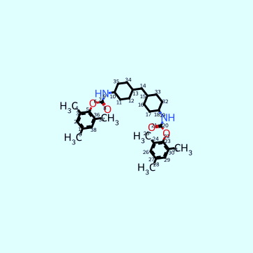 Cc1cc(C)c(OC(=O)NC2CCC(CC3CCC(NC(=O)Oc4c(C)cc(C)cc4C)CC3)CC2)c(C)c1